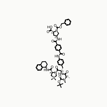 C[C@@H](C(=O)N[C@@H](Cc1ccc(NC(=O)c2ccc(C(=O)N[C@H]3C[C@@H](C(=O)O)N(C(=O)OCc4ccccc4)C3)cc2)cc1)C(=O)N1C[Si](C)(C)C[C@H]1C(=O)N[C@@H]1CCCc2ccccc21)N(C)C(=O)OC(C)(C)C